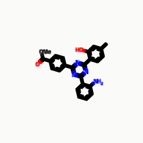 COC(=O)c1ccc(-c2nc(-c3ccccc3N)nc(-c3ccc(C)cc3O)n2)cc1